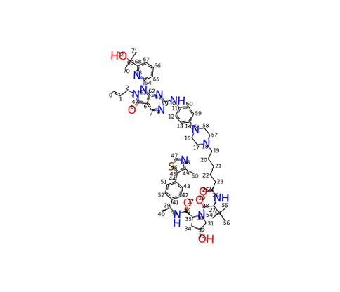 C=CCn1c(=O)c2cnc(Nc3ccc(N4CCN(CCCCCC(=O)N[C@H](C(=O)N5C[C@H](O)C[C@H]5C(=O)N[C@@H](C)c5ccc(-c6scnc6C)cc5)C(C)(C)C)CC4)cc3)nc2n1-c1cccc(C(C)(C)O)n1